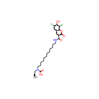 C#CCN(CCCCCCCCCCCCNC(=O)c1cc2cc(F)c(O)c(F)c2oc1=O)C(=O)O